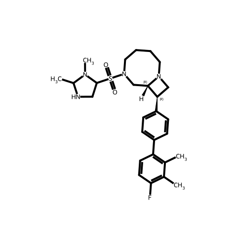 Cc1c(F)ccc(-c2ccc([C@@H]3CN4CCCCN(S(=O)(=O)C5CNC(C)N5C)C[C@@H]34)cc2)c1C